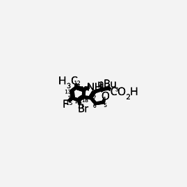 CCCCC1(CC(=O)O)OCCc2c1[nH]c1c(C)cc(F)c(Br)c21